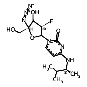 CC(C)[C@H](C)Nc1ccn(C2O[C@@](CO)(N=[N+]=[N-])C(O)[C@@H]2F)c(=O)n1